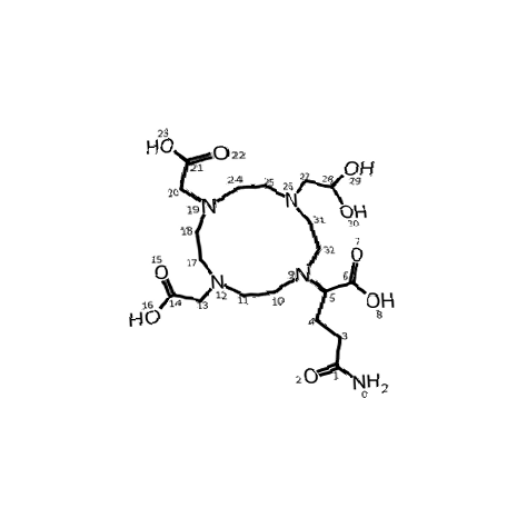 NC(=O)CCC(C(=O)O)N1CCN(CC(=O)O)CCN(CC(=O)O)CCN(CC(O)O)CC1